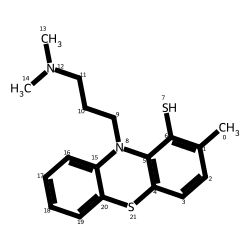 Cc1ccc2c(c1S)N(CCCN(C)C)c1ccccc1S2